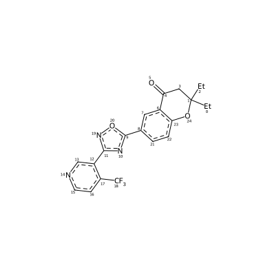 CCC1(CC)CC(=O)c2cc(-c3nc(-c4cnccc4C(F)(F)F)no3)ccc2O1